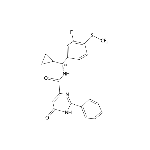 O=C(N[C@@H](c1ccc(SC(F)(F)F)c(F)c1)C1CC1)c1cc(=O)[nH]c(-c2ccccc2)n1